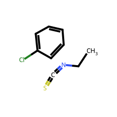 CCN=C=S.Clc1ccccc1